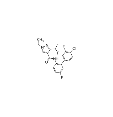 CCn1cc(C(=O)Nc2ccc(F)cc2-c2ccc(Cl)c(F)c2)c(C(F)F)n1